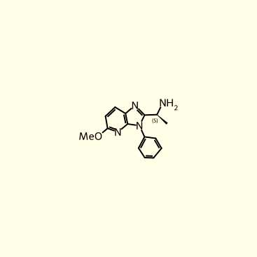 COc1ccc2nc([C@H](C)N)n(-c3ccccc3)c2n1